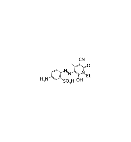 CCn1c(O)c(N=Nc2ccc(N)cc2S(=O)(=O)O)c(C)c(C#N)c1=O